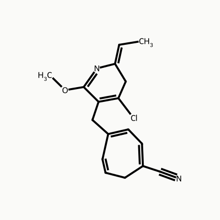 C/C=C1\CC(Cl)=C(CC2=CC=C(C#N)CC=C2)C(OC)=N1